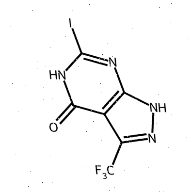 O=c1[nH]c(I)nc2[nH]nc(C(F)(F)F)c12